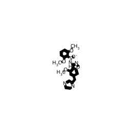 COc1cccc(OC)c1[S+]([O-])Nc1noc2cc(Cc3cnccn3)cc(OC)c12